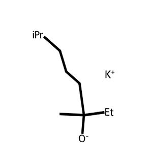 CCC(C)([O-])CCCC(C)C.[K+]